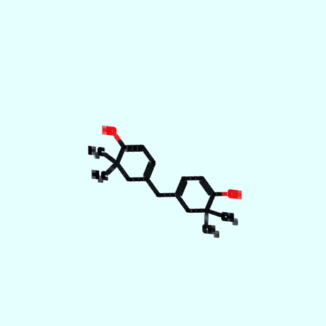 CC1(C)CC(CC2=CC=C(O)C(C)(C)C2)=CC=C1O